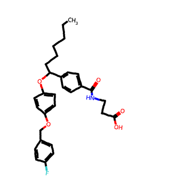 CCCCCCC(Oc1ccc(OCc2ccc(F)cc2)cc1)c1ccc(C(=O)NCCC(=O)O)cc1